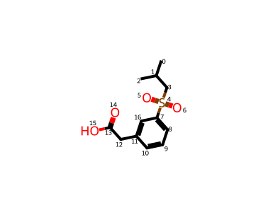 CC(C)CS(=O)(=O)c1cccc(CC(=O)O)c1